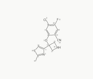 Cc1nc(C2(Oc3cc(Cl)c(F)cc3C#N)CNC2)cs1